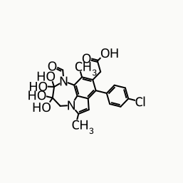 Cc1c(CC(=O)O)c(-c2ccc(Cl)cc2)c2cc(C)n3c2c1N(C=O)C(O)(O)C(O)(O)C3